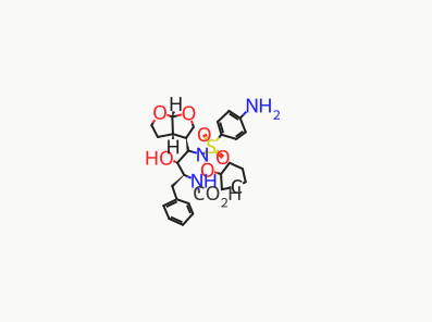 Nc1ccc(S(=O)(=O)N(OC2CCCCC2)C([C@H](O)[C@H](Cc2ccccc2)NC(=O)O)[C@@H]2CO[C@H]3OCC[C@H]32)cc1